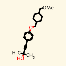 COCC1CCC(COc2ccc(C#CC(C)(C)O)cc2)CC1